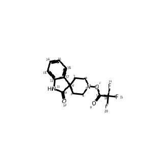 O=C(ON1CCC2(CC1)C(=O)Nc1ccccc12)C(F)(F)F